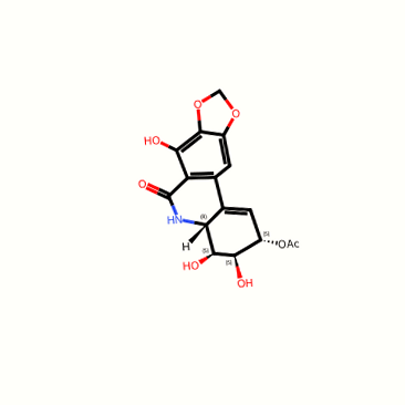 CC(=O)O[C@H]1C=C2c3cc4c(c(O)c3C(=O)N[C@H]2[C@H](O)[C@@H]1O)OCO4